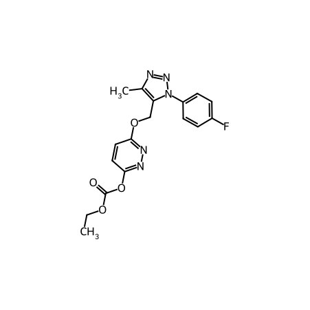 CCOC(=O)Oc1ccc(OCc2c(C)nnn2-c2ccc(F)cc2)nn1